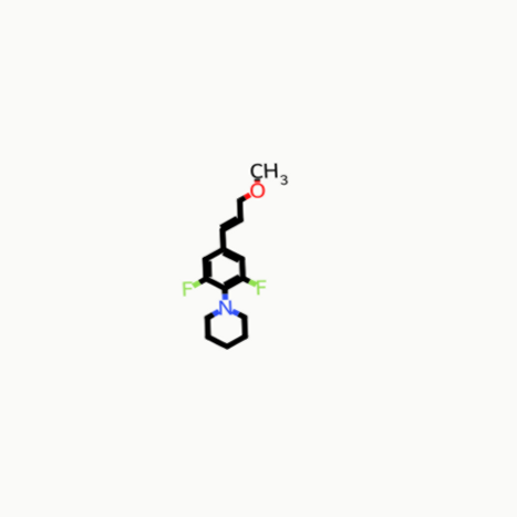 COC/C=C/c1cc(F)c(N2CCCCC2)c(F)c1